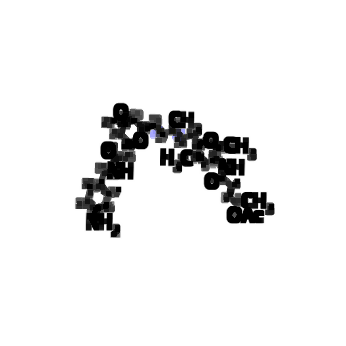 CC(=O)OC(C)C=CC(=O)N[C@@H]1C[C@H](C)[C@H](C/C=C(C)/C=C/[C@@H]2C[C@]3(CO3)C[C@@H](CC(=O)NCc3ccc(N)cc3)O2)O[C@@H]1C